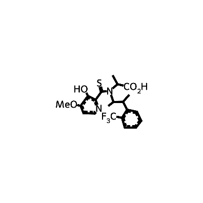 COc1ccnc(C(=S)N(C(C)C(=O)O)C(C)C(C)c2ccccc2C(F)(F)F)c1O